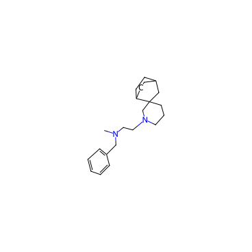 CN(CCN1CCCC2(CC3CCC2CC3)C1)Cc1ccccc1